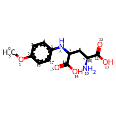 COc1ccc(NC(C[C@H](N)C(=O)O)C(=O)O)cc1